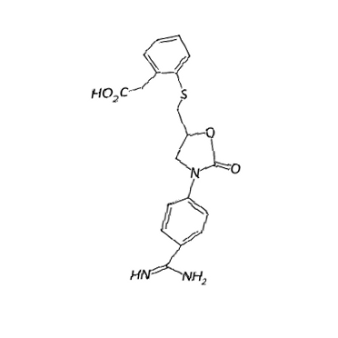 N=C(N)c1ccc(N2CC(CSc3ccccc3CC(=O)O)OC2=O)cc1